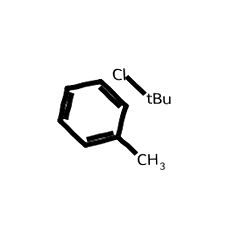 CC(C)(C)Cl.Cc1ccccc1